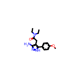 CCN(CC)C(=O)Cc1c(N)n[nH]c1-c1ccc(OC)cc1